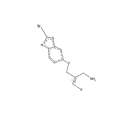 NC/C(=C\F)COc1ccc2nc(Br)sc2c1